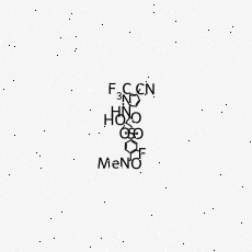 CNC(=O)c1ccc(S(=O)(=O)C[C@](C)(O)C(=O)Nc2ccc(C#N)c(C(F)(F)F)n2)cc1F